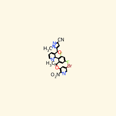 C[C@@H](Oc1cc(Br)cnc1[N+](=O)[O-])c1cc(F)cc(F)c1-c1ncccc1C(=O)c1cc(C#N)nn1C